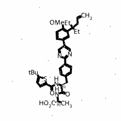 C=CCC(CC)(CC)c1cc(-c2cnc(-c3ccc(C[C@H](NC(=O)c4ccc(C(C)(C)C)s4)C(=O)N[C@H](C)C(=O)O)cc3)nc2)ccc1OC